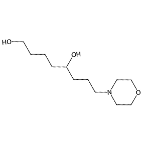 OCCCCC(O)CCCN1CCOCC1